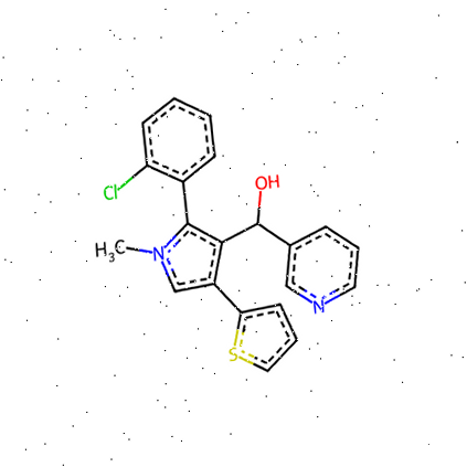 Cn1cc(-c2cccs2)c(C(O)c2cccnc2)c1-c1ccccc1Cl